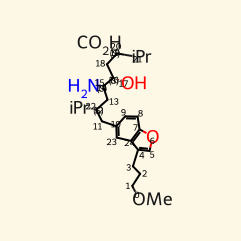 COCCCc1coc2ccc(C[C@@H](C[C@H](N)[C@@H](O)C[C@H](C(=O)O)C(C)C)C(C)C)cc12